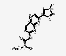 CCCCCN(S)C(=O)Nc1ccc2ncc(-c3cn(C)cn3)nc2n1